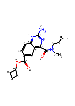 CCCN(C)C(=O)c1nc(N)nc2ccc(C(=O)OC3CCC3)cc12